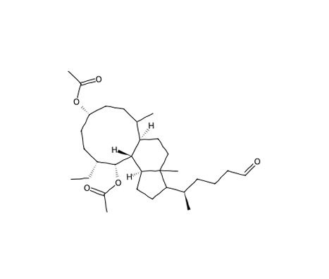 CC[C@@H]1CC[C@H](OC(C)=O)CCC(C)[C@H]2CCC3(C)C([C@H](C)CCCC=O)CC[C@H]3[C@@H]2[C@@H]1OC(C)=O